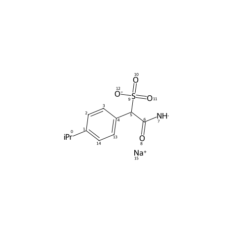 CC(C)c1ccc(C(C([NH])=O)S(=O)(=O)[O-])cc1.[Na+]